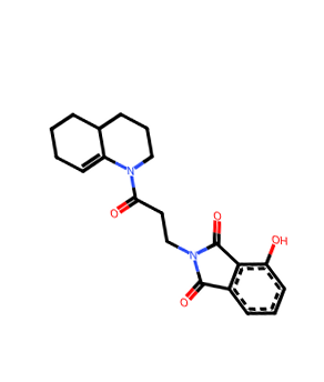 O=C(CCN1C(=O)c2cccc(O)c2C1=O)N1CCCC2CCCC=C21